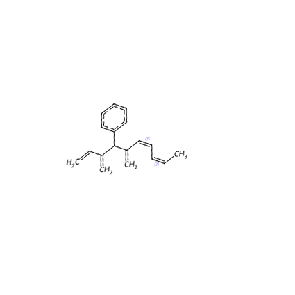 C=CC(=C)C(C(=C)/C=C\C=C/C)c1ccccc1